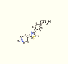 CN1CCC(c2nc(-c3ccc(C(=O)O)cc3)cs2)CC1